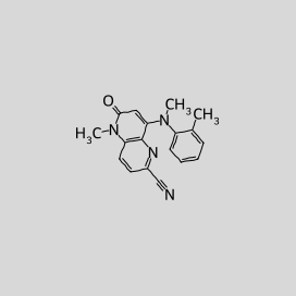 Cc1ccccc1N(C)c1cc(=O)n(C)c2ccc(C#N)nc12